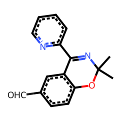 CC1(C)N=C(c2ccccn2)c2cc(C=O)ccc2O1